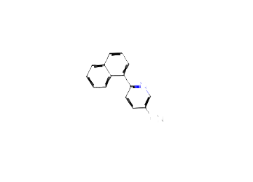 N#Cc1ccc(-c2cc[c]c3ccccc23)nc1